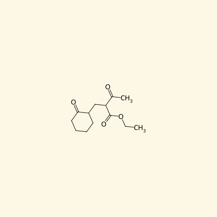 CCOC(=O)C(CC1CCCCC1=O)C(C)=O